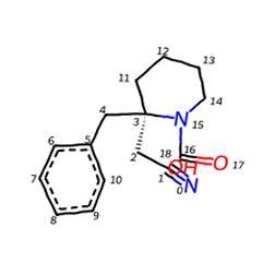 N#CC[C@]1(Cc2ccccc2)CCCCN1C(=O)O